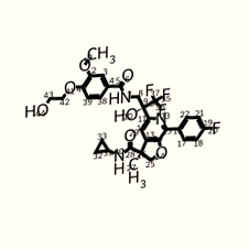 COc1cc(C(=O)NC[C@](O)(c2cc3c(c(-c4ccc(F)cc4)n2)OC[C@]3(C)C(=O)NC2CC2)C(F)(F)F)ccc1OCCO